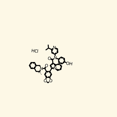 CC(C)c1cc(N(C(=O)c2cc(-c3cc4c(cc3C(=O)N3Cc5ccccc5C[C@H]3C)OCO4)n3ccccc23)c2ccc(O)cc2)ccn1.Cl